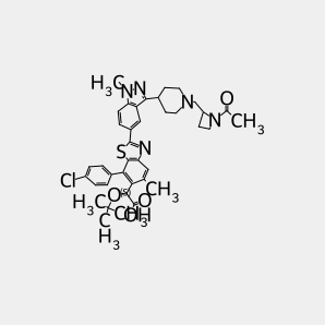 CC(=O)N1CCC1CN1CCC(c2nn(C)c3ccc(-c4nc5cc(C)c([C@H](OC(C)(C)C)C(=O)O)c(-c6ccc(Cl)cc6)c5s4)cc23)CC1